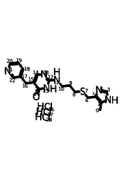 Cc1[nH]cnc1CSCCCNc1ncc(Cc2cccnc2)c(=O)[nH]1.Cl.Cl.Cl